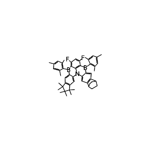 Cc1cc(C)c(B2c3cc4c(cc3N3c5cc6c(cc5B(c5c(C)cc(C)cc5C)c5c(F)cc(F)c2c53)C(C)(C)C(C)(C)C6(C)C)C2CCC4CC2)c(C)c1